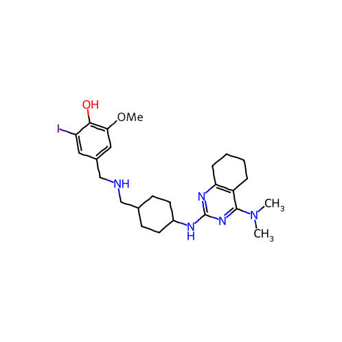 COc1cc(CNCC2CCC(Nc3nc4c(c(N(C)C)n3)CCCC4)CC2)cc(I)c1O